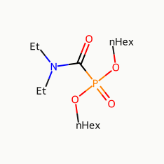 CCCCCCOP(=O)(OCCCCCC)C(=O)N(CC)CC